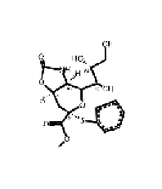 COC(=O)[C@@]1(Sc2ccccc2)C[C@H]2OC(=O)N[C@H]2C([C@H](O)[C@H](O)CO)O1